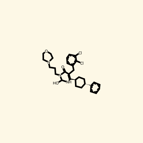 O=C1C(Cc2cccc(Cl)c2Cl)=C([C@H]2CC[C@H](c3ccccc3)CC2)NC(O)N1CCCN1CCOCC1